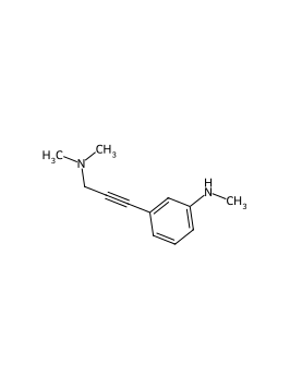 CNc1cccc(C#CCN(C)C)c1